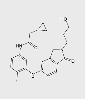 Cc1ccc(NC(=O)CC2CC2)cc1Nc1ccc2c(c1)CN(CCCO)C2=O